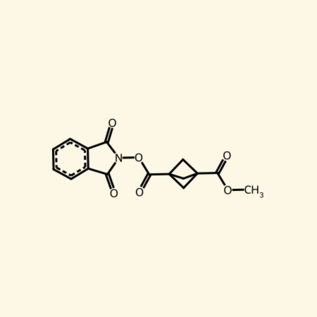 COC(=O)C12CC(C(=O)ON3C(=O)c4ccccc4C3=O)(C1)C2